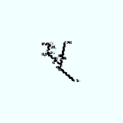 CCCCCCCCCCCCCCCCCCNC(=O)OC(COC(=O)NCCCCCCCCCCCCCCCC)CSC(=O)NCCCC(C)(C)OCCC(C)(C)OC